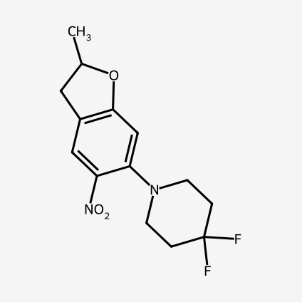 CC1Cc2cc([N+](=O)[O-])c(N3CCC(F)(F)CC3)cc2O1